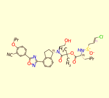 CC(C)C[C@@H](N[S+]([O-])C/C=C/Cl)C(=O)OC(C)(C)C(=O)N(CCO)[C@H]1CCc2c(-c3noc(-c4ccc(OC(C)C)c(C#N)c4)n3)cccc21